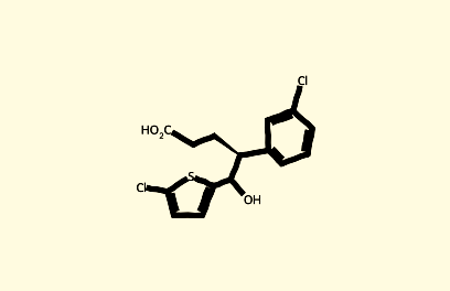 O=C(O)CC[C@@H](c1cccc(Cl)c1)C(O)c1ccc(Cl)s1